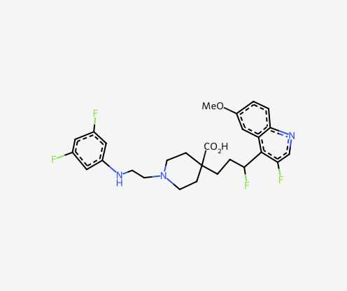 COc1ccc2ncc(F)c(C(F)CCC3(C(=O)O)CCN(CCNc4cc(F)cc(F)c4)CC3)c2c1